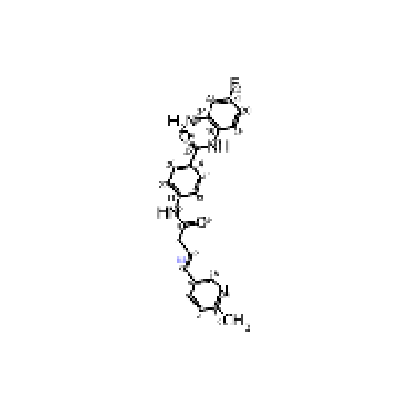 Cc1ccc(/C=C/CC(=O)Nc2ccc(C(=O)Nc3ccc(F)cc3N)cc2)cn1